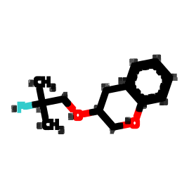 CC(C)(F)COC1COc2ccccc2C1